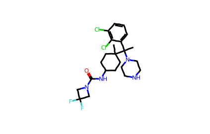 CC1(C(C)(c2cccc(Cl)c2Cl)N2CCNCC2)CCC(NC(=O)N2CC(F)(F)C2)CC1